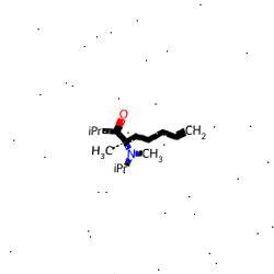 C=CCCC[C@](C)(C(=O)C(C)C)N(C)C(C)C